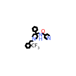 O=C(NCC1(c2ccccc2)CCN(CCc2ccccc2C(F)(F)F)CC1)c1ccncc1